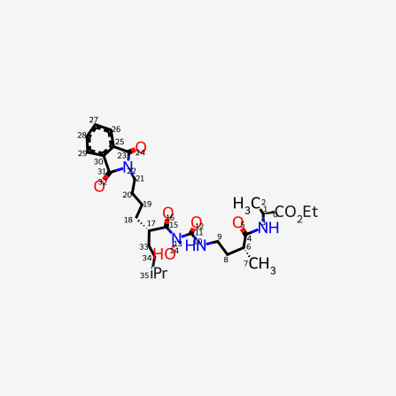 CCOC(=O)[C@H](C)NC(=O)[C@H](C)CCNC(=O)N(O)C(=O)[C@@H](CCCCN1C(=O)c2ccccc2C1=O)CCC(C)C